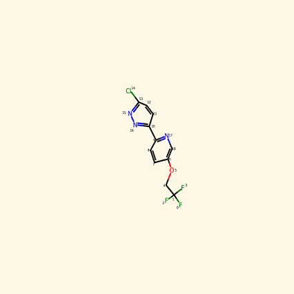 FC(F)(F)COc1ccc(-c2ccc(Cl)nn2)nc1